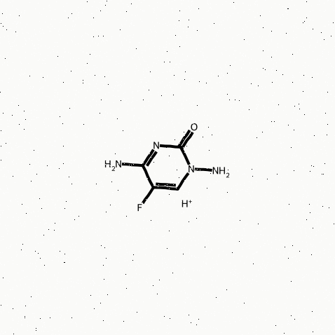 Nc1nc(=O)n(N)cc1F.[H+]